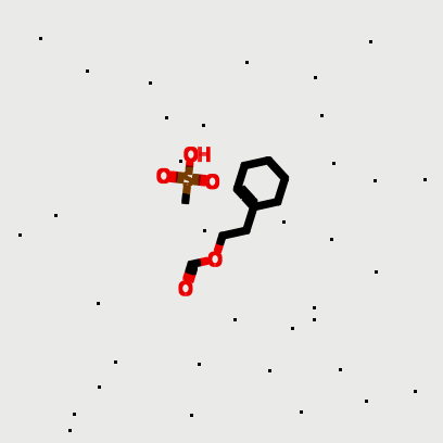 CS(=O)(=O)O.O=COCCC1=CCCCC1